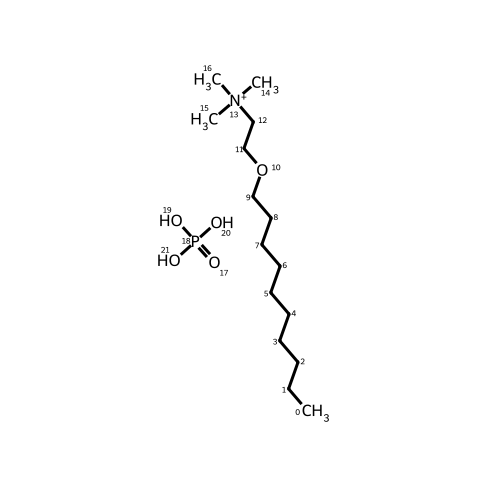 CCCCCCCCCCOCC[N+](C)(C)C.O=P(O)(O)O